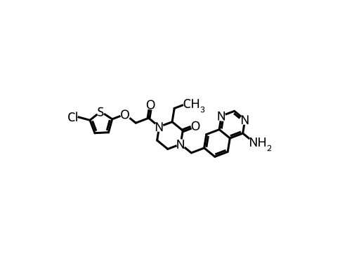 CCC1C(=O)N(Cc2ccc3c(N)ncnc3c2)CCN1C(=O)COc1ccc(Cl)s1